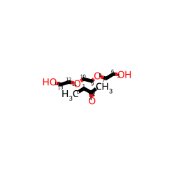 CCC(C)=O.OCCOCCOCCO